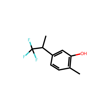 Cc1ccc(C(C)C(F)(F)F)cc1O